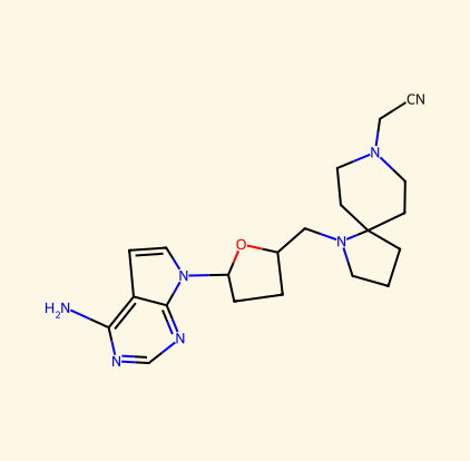 N#CCN1CCC2(CCCN2CC2CCC(n3ccc4c(N)ncnc43)O2)CC1